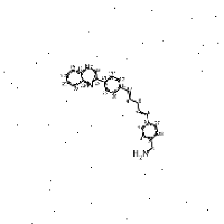 NCc1ccc(C=CCC=Cc2ccc(-c3cnc4ccccc4n3)cc2)cc1